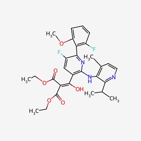 CCOC(=O)C(C(=O)OCC)=C(O)c1cc(F)c(-c2c(F)cccc2OC)nc1Nc1c(C)ccnc1C(C)C